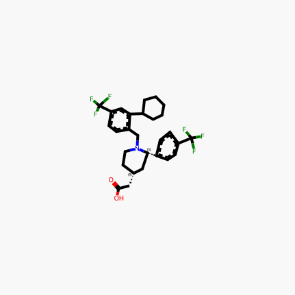 O=C(O)C[C@@H]1CCN(Cc2ccc(C(F)(F)F)cc2C2CCCCC2)[C@H](c2ccc(C(F)(F)F)cc2)C1